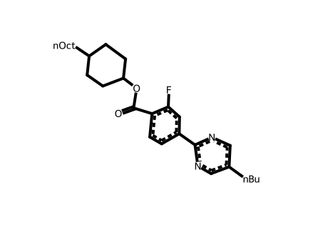 CCCCCCCCC1CCC(OC(=O)c2ccc(-c3ncc(CCCC)cn3)cc2F)CC1